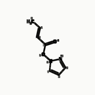 C/C=C/C(=O)On1cccn1